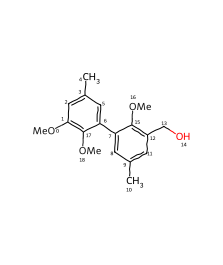 COc1cc(C)cc(-c2cc(C)cc(CO)c2OC)c1OC